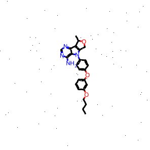 CCCCOc1cccc(Oc2ccc(-n3c4c(c5ncnc(N)c53)C(C)OC4)cc2)c1